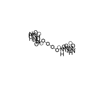 CNC(C)C(=O)NC(C(=O)N1CCCC1C(=O)NC1CCCc2c(-c3ccc(-c4ccc(-c5cccc6c5CCC[C@H]6NC(=O)C5CCCN5C(=O)C(NC(=O)C(C)NC)C5CCCCC5)cc4)cc3)cccc21)C1CCCCC1